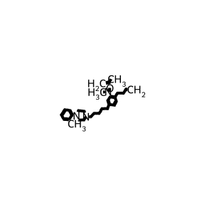 C=CCCc1ccc(CCCCCN2CCN(c3ccccc3C)CC2)cc1N(C)OC(=C)C